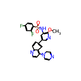 COc1ncc(-c2ccc3nccc(N4C=CN=CC4)c3c2)cc1NS(=O)(=O)c1ccc(F)cc1F